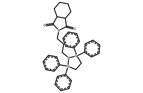 O=C1C2CCCCC2C(=O)N1CCCN1[Si](c2ccccc2)(c2ccccc2)CC[Si]1(c1ccccc1)c1ccccc1